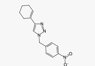 O=[N+]([O-])c1ccc(Cn2cc(C3=CCCCC3)nn2)cc1